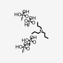 CCCN(CCC)CCC.O=P(O)(O)F.O=P(O)(O)F.O=P(O)(O)F.O=P(O)(O)F